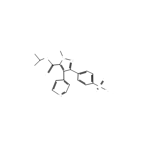 CC(C)OC(=O)c1c(-c2ccncc2)c(-c2ccc(S(N)(=O)=O)cc2)nn1C